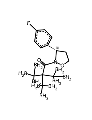 BC(B)(B)C(C(=O)N1OCC[C@H]1c1ccc(F)cc1)(C(B)(B)B)C(B)(B)B